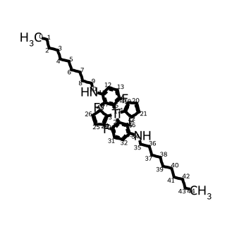 CCCCCCCCCCNc1ccc(F)[c]([Ti]([C]2=CC=CC2)([C]2=CC=CC2)[c]2c(F)ccc(NCCCCCCCCCC)c2F)c1F